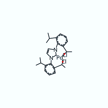 CC(C)c1cccc(C(C)C)c1N1C=CN(c2c(C(C)C)cccc2C(C)C)[CH]1[Pd]([Cl])[Cl]